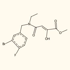 CCN(Cc1ccc(F)c(Br)c1)C(=O)/C=C(\O)C(=O)OC